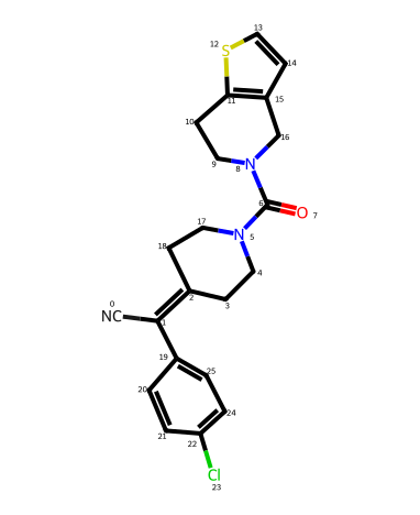 N#CC(=C1CCN(C(=O)N2CCc3sccc3C2)CC1)c1ccc(Cl)cc1